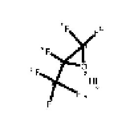 F.FC(F)(F)C1(F)OC1(F)F